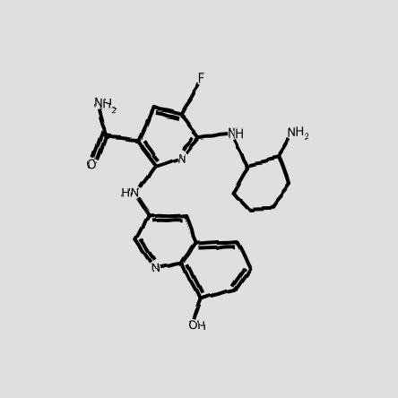 NC(=O)c1cc(F)c(NC2CCCCC2N)nc1Nc1cnc2c(O)cccc2c1